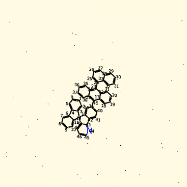 c1ccc2c(c1)-c1ccccc1C21c2cc(-c3c4ccccc4c(-c4cccc5ccccc45)c4ccccc34)ccc2-c2ncccc21